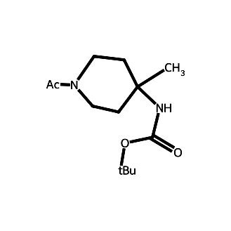 CC(=O)N1CCC(C)(NC(=O)OC(C)(C)C)CC1